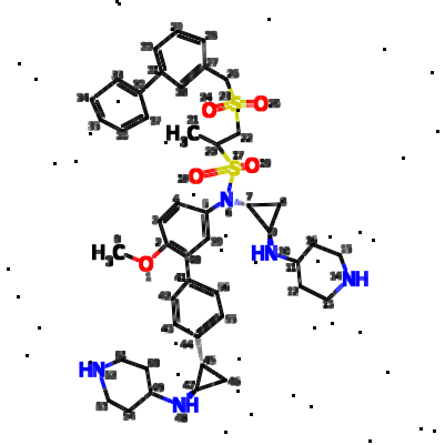 COc1ccc(N([C@@H]2C[C@H]2NC2CCNCC2)S(=O)(=O)C(C)CS(=O)(=O)Cc2cccc(-c3ccccc3)c2)cc1-c1ccc([C@@H]2C[C@H]2NC2CCNCC2)cc1